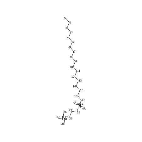 CCCCCCCCCCCCCCCCCC[N+](C)(C)CCC[N+](C)(C)C